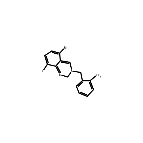 Fc1ccc(Br)c2c1=NCN(Cc1ccccc1C(F)(F)F)C=2